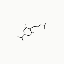 CC(C)CCCN1[C@H](C)CN(C(C)C)C[C@@H]1C